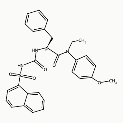 CCN(C(=O)[C@H](Cc1ccccc1)NC(=O)NS(=O)(=O)c1cccc2ccccc12)c1ccc(OC)cc1